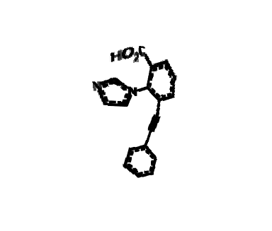 O=C(O)c1cccc(C#Cc2ccccc2)c1-n1ccnc1